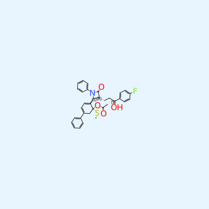 CSC1(OC(C)=O)CC(c2ccccc2)=CC=C1[C@@H]1[C@@H](CC[C@H](O)c2ccc(F)cc2)C(=O)N1c1ccccc1